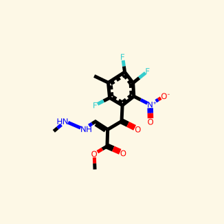 CNNC=C(C(=O)OC)C(=O)c1c(F)c(C)c(F)c(F)c1[N+](=O)[O-]